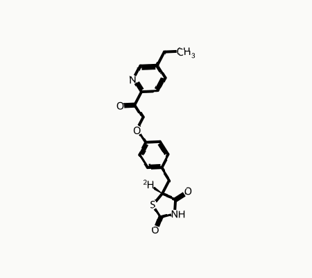 [2H][C@]1(Cc2ccc(OCC(=O)c3ccc(CC)cn3)cc2)SC(=O)NC1=O